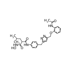 CC(=O)Nc1ccccc1OCc1cn(Cc2ccc(NC(=O)C(CC(C)C)C(=O)NO)cc2)nn1